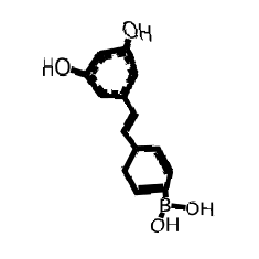 OB(O)C1=CCC(/C=C/c2cc(O)cc(O)c2)C=C1